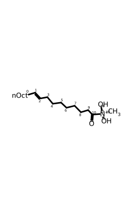 CCCCCCCCC=CCCCCCCCC(=O)[N+](C)(O)O